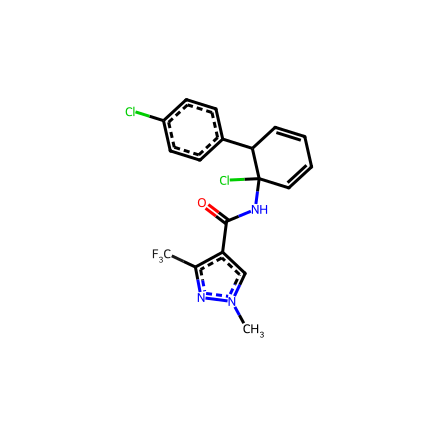 Cn1cc(C(=O)NC2(Cl)C=CC=CC2c2ccc(Cl)cc2)c(C(F)(F)F)n1